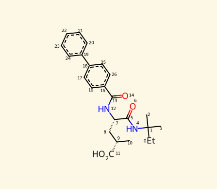 CCC(C)(C)NC(=O)[C@H](C[C@H](C)C(=O)O)NC(=O)c1ccc(-c2ccccc2)cc1